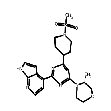 C[C@@H]1COCCN1c1cc(C2CCN(S(C)(=O)=O)CC2)nc(-c2ccnc3[nH]ccc23)n1